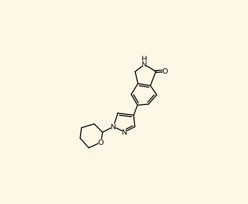 O=C1NCc2cc(-c3cnn(C4CCCCO4)c3)ccc21